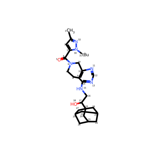 Cc1cc(C(=O)N2CCc3c(ncnc3NCC(O)C34CC5CC(CC(C5)C3)C4)C2)n(C(C)(C)C)n1